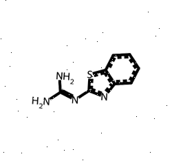 NC(N)=Nc1nc2ccccc2s1